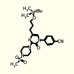 CC(C)(C)[Si](C)(C)OCCCc1cn(-c2ccc(C#N)cc2)c(=O)c(N2CCN(S(C)(=O)=O)CC2)n1